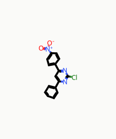 O=[N+]([O-])c1ccc(-c2cc(-c3ccccc3)nc(Cl)n2)cc1